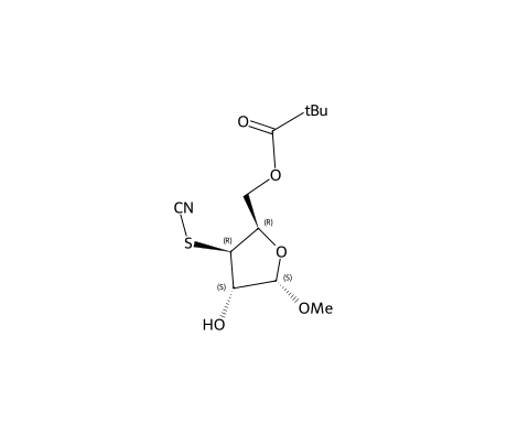 CO[C@H]1O[C@H](COC(=O)C(C)(C)C)[C@H](SC#N)[C@H]1O